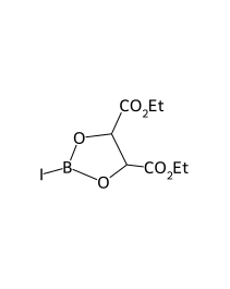 CCOC(=O)C1OB(I)OC1C(=O)OCC